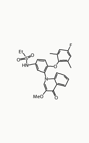 CCS(=O)(=O)Nc1ccc(Oc2c(C)cc(F)cc2C)c(-n2cc(OC)c(=O)c3ccccc32)c1